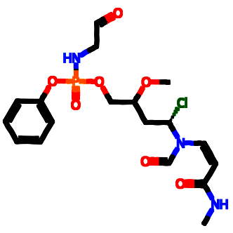 CNC(=O)/C=C\N(C=O)[C@@H](Cl)CC(COP(=O)(NCC=O)Oc1ccccc1)OC